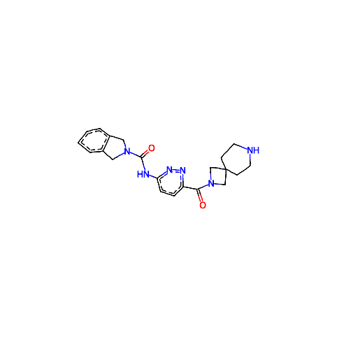 O=C(Nc1ccc(C(=O)N2CC3(CCNCC3)C2)nn1)N1Cc2ccccc2C1